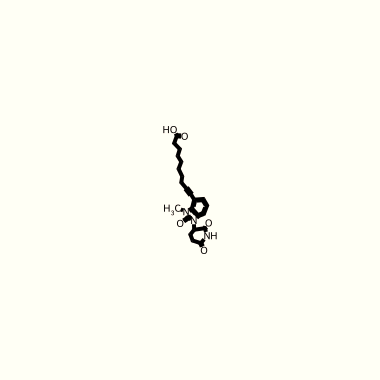 Cn1c(=O)n(C2CCC(=O)NC2=O)c2cccc(C#CCCCCCCCC(=O)O)c21